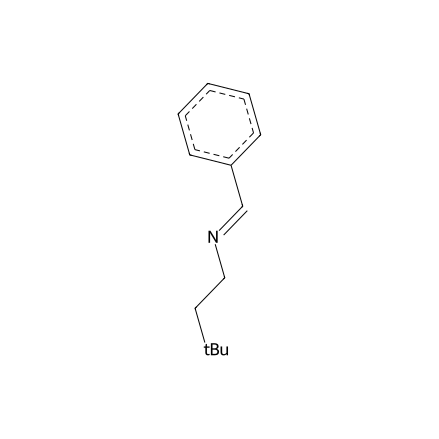 CC(C)(C)CC/N=C/c1ccccc1